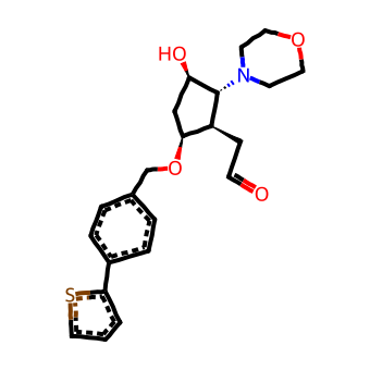 O=CC[C@@H]1[C@@H](N2CCOCC2)[C@H](O)C[C@@H]1OCc1ccc(-c2cccs2)cc1